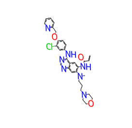 C=CC(=O)Nc1cc2c(Nc3ccc(OCc4ccccn4)c(Cl)c3)ncnc2cc1N(C)CCCN1CCOCC1